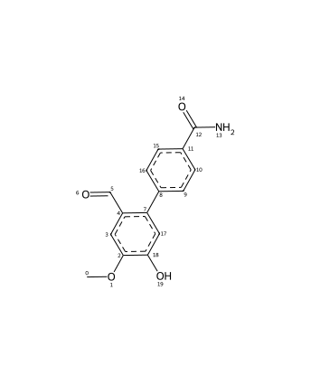 COc1cc(C=O)c(-c2ccc(C(N)=O)cc2)cc1O